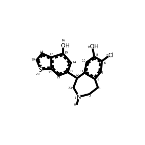 CN1CCc2cc(Cl)c(O)cc2C(c2cc(O)c3ccsc3c2)C1